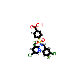 O=C(O)c1ccc(S(=O)(=O)N(Cc2ccc(F)c(Cl)c2)c2ncc(Cl)cc2Cl)cc1